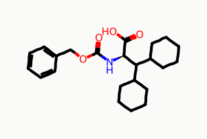 O=C(N[C@@H](C(=O)O)C(C1CCCCC1)C1CCCCC1)OCc1ccccc1